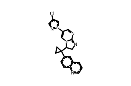 Clc1cnn(C2=CN3C(=NCC3C3(c4ccc5ncccc5c4)CC3)N=C2)c1